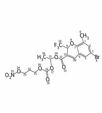 Cc1cc(Br)cc2c1OC(C(F)(F)F)C(C(=O)OC(C)OC(=O)OCCCO[N+](=O)[O-])=C2